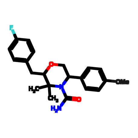 COc1ccc(C2COC(Cc3ccc(F)cc3)C(C)(C)N2C(N)=O)cc1